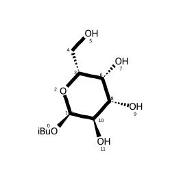 CC(C)CO[C@H]1O[C@H](CO)[C@H](O)[C@H](O)[C@H]1O